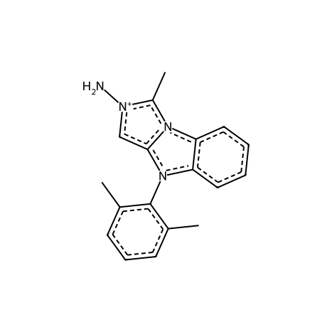 Cc1cccc(C)c1-n1c2ccccc2n2c(C)[n+](N)cc12